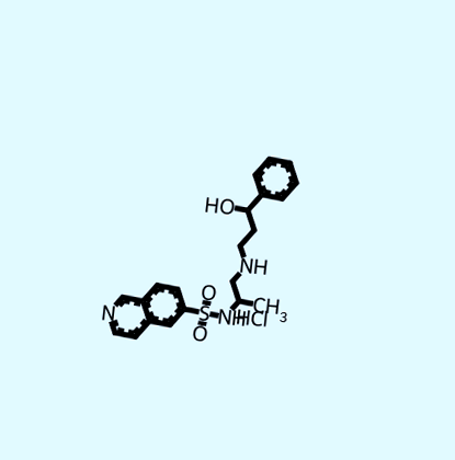 CC(CNCCC(O)c1ccccc1)NS(=O)(=O)c1ccc2cnccc2c1.Cl